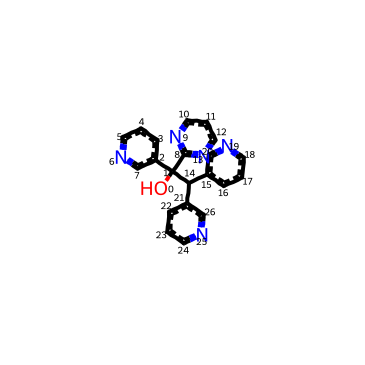 OC(c1cccnc1)(c1ncccn1)C(c1cccnc1)c1cccnc1